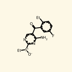 CCc1ccc(F)cc1C(=O)c1cnc([S+]([O-])CC)nc1N